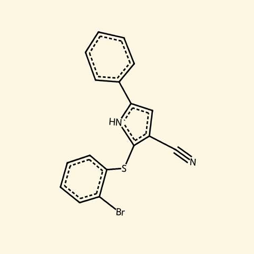 N#Cc1cc(-c2ccccc2)[nH]c1Sc1ccccc1Br